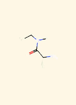 C[C@@H](N)C(=O)N(C)CC#N